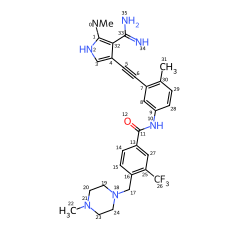 CNc1[nH]cc(C#Cc2cc(NC(=O)c3ccc(CN4CCN(C)CC4)c(C(F)(F)F)c3)ccc2C)c1C(=N)N